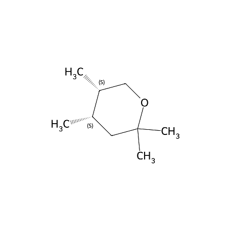 C[C@@H]1COC(C)(C)C[C@@H]1C